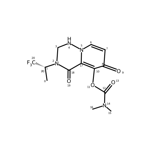 C[C@@H](N1CNn2ccc(=O)c(OC(=O)N(C)C)c2C1=O)C(F)(F)F